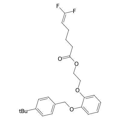 CC(C)(C)c1ccc(COc2ccccc2OCCOC(=O)CCCC=C(F)F)cc1